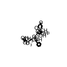 CC(C)(CO)C(=O)SCCOP(=O)(NCc1ccccc1)OC[C@H]1O[C@@H](N2C=CC(=O)CC2=O)[C@](C)(O)[C@@H]1O